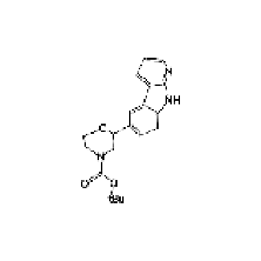 CC(C)(C)OC(=O)N1CCOC(c2ccc3[nH]c4ncccc4c3c2)C1